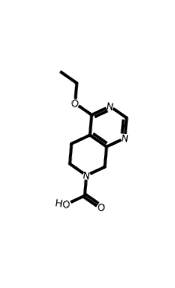 CCOc1ncnc2c1CCN(C(=O)O)C2